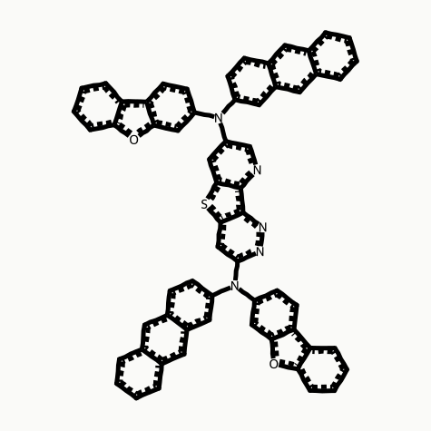 c1ccc2cc3cc(N(c4ccc5c(c4)oc4ccccc45)c4cnc5c(c4)sc4cc(N(c6ccc7cc8ccccc8cc7c6)c6ccc7c(c6)oc6ccccc67)nnc45)ccc3cc2c1